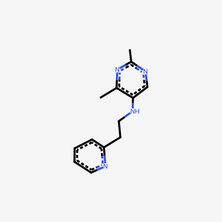 Cc1ncc(NCCc2ccccn2)c(C)n1